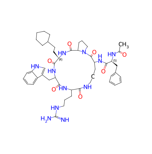 CC(=O)N[C@@H](Cc1ccccc1)C(=O)NC1CCCNC(=O)C(CCCNC(=N)N)NC(=O)C(Cc2c[nH]c3ccccc23)NC(=O)[C@@H](CCC2CCCCC2)NC(=O)C2CCCN2C1=O